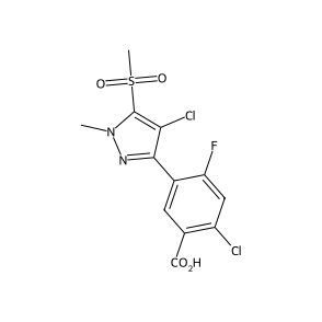 Cn1nc(-c2cc(C(=O)O)c(Cl)cc2F)c(Cl)c1S(C)(=O)=O